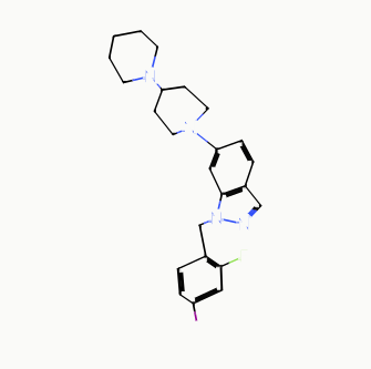 Fc1cc(I)ccc1Cn1ncc2ccc(N3CCC(N4CCCCC4)CC3)cc21